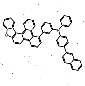 c1ccc(N(c2ccc(-c3ccc4ccccc4c3)cc2)c2cccc(-c3cccc4c5ccc6oc7ccccc7c6c5c5ccccc5c34)c2)cc1